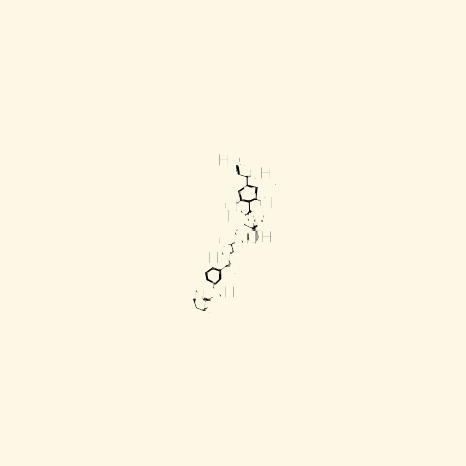 C=C(/C=C\C)c1cc(Cl)c(C(=O)N[C@H](CNC(=O)CNC(=O)c2cccc(NC3=NCCCO3)c2)C(=O)O)c(Cl)c1